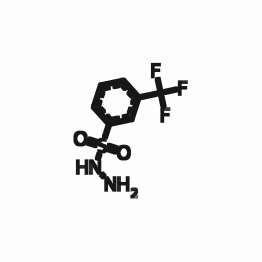 NNS(=O)(=O)c1cccc(C(F)(F)F)c1